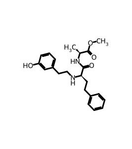 COC(=O)[C@H](C)NC(=O)[C@@H](CCc1ccccc1)NCCc1cccc(O)c1